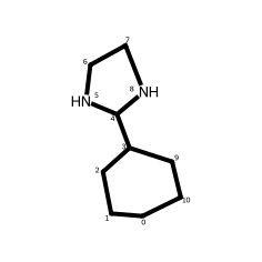 C1CCC([C]2NCCN2)CC1